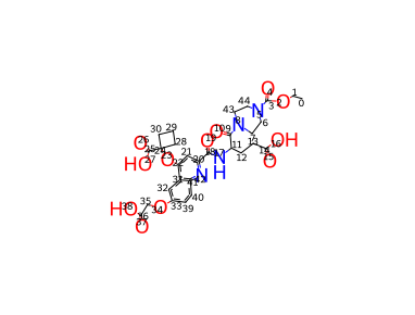 CCOC(=O)N1CCN(C(=O)C(CCC(=O)O)NC(=O)c2cc(OC3(C(=O)O)CCC3)c3cc(OCC(=O)O)ccc3n2)CC1